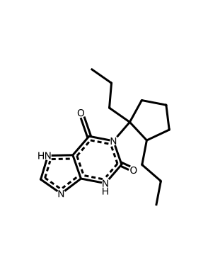 CCCC1CCCC1(CCC)n1c(=O)[nH]c2nc[nH]c2c1=O